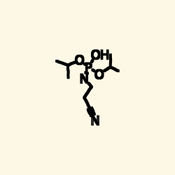 CC(C)OP(O)(=NCCC#N)OC(C)C